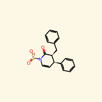 O=C1[C@@H](Cc2ccccc2)[C@@H](c2ccccc2)C=CN1[SH](=O)=O